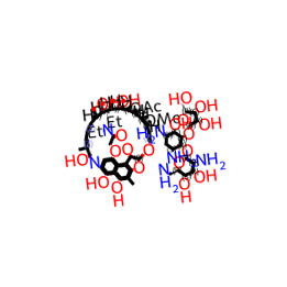 CCN(CC)C(=O)COc1cc2c(O)c3c(O)c(C)c4c(c13)C(=O)[C@@](C)(O/C=C\[C@H](OC)[C@@H](C)[C@@H](OC(C)=O)[C@H](C)[C@H](O)[C@H](C)[C@@H](O)[C@@H](C)/C=C\C=C(\C)C(O)=N2)O4.NC[C@H]1O[C@H](O[C@H]2[C@H](O[C@@H]3O[C@H](CO)[C@@H](O)[C@H]3O)[C@@H](O)[C@H](N)C[C@@H]2N)[C@H](N)[C@@H](O)[C@@H]1O